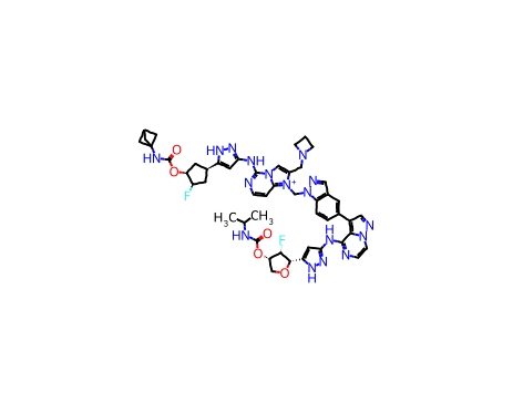 CC(C)NC(=O)O[C@H]1CO[C@@H](c2cc(Nc3nccn4ncc(-c5ccc6c(cnn6C[n+]6c(CN7CCC7)cn7c(Nc8cc([C@H]9C[C@@H](F)[C@@H](OC(=O)NC%10%11CC(C%10)C%11)C9)[nH]n8)nccc76)c5)c34)n[nH]2)[C@H]1F